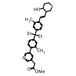 CCC(CC)(c1ccc(/C=C/C2CSCCC2O)c(C)c1)c1ccc(-c2cncc(CC(=O)OC)c2)c(C)c1